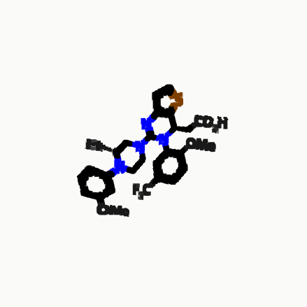 CC[C@@H]1CN(C2=Nc3ccsc3[C@@H](CC(=O)O)N2c2cc(C(F)(F)F)ccc2OC)CCN1c1cccc(OC)c1